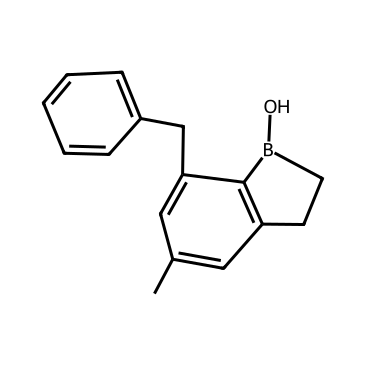 Cc1cc2c(c(Cc3ccccc3)c1)B(O)CC2